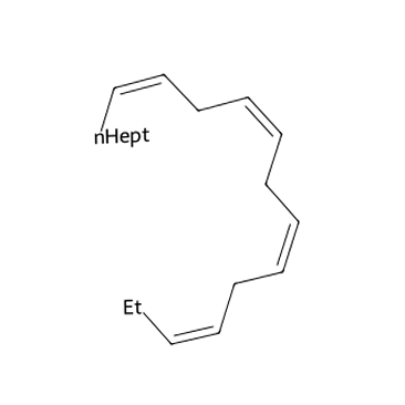 [CH2]CCCCCC/C=C\C/C=C\C/C=C\C/C=C\CC